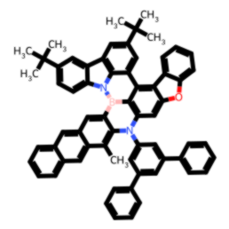 Cc1c2c(cc3cc4ccccc4cc13)B1c3c(cc4oc5ccccc5c4c3-c3cc(C(C)(C)C)cc4c5cc(C(C)(C)C)ccc5n1c34)N2c1cc(-c2ccccc2)cc(-c2ccccc2)c1